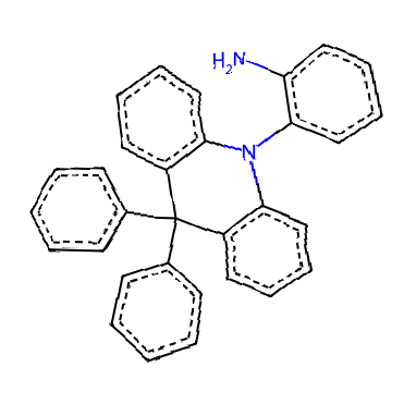 Nc1ccccc1N1c2ccccc2C(c2ccccc2)(c2ccccc2)c2ccccc21